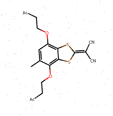 CC(=O)CCOc1cc(C)c(OCCC(C)=O)c2c1SC(=C(C#N)C#N)S2